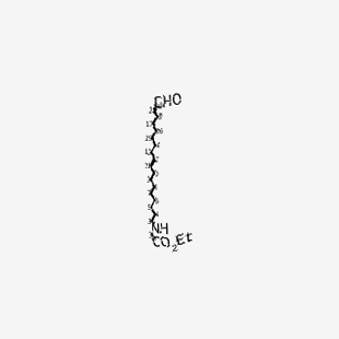 CCOC(=O)CNCCCCCCCCC=CCCCCCCCC=O